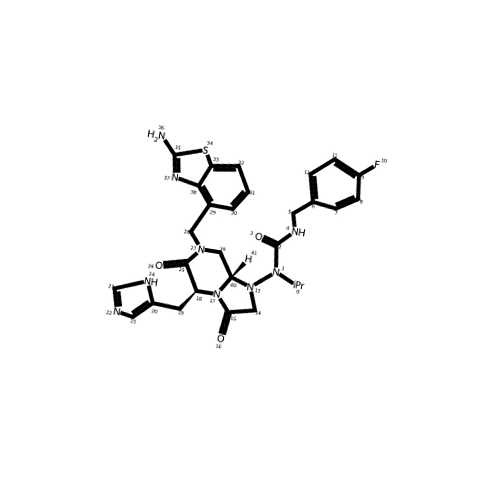 CC(C)N(C(=O)NCc1ccc(F)cc1)N1CC(=O)N2[C@@H](Cc3cnc[nH]3)C(=O)N(Cc3cccc4sc(N)nc34)C[C@@H]21